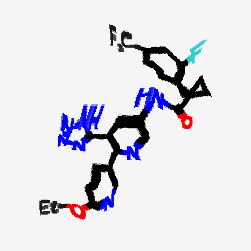 CCOc1ccc(-c2ncc(NC(=O)C3(c4ccc(C(F)(F)F)cc4F)CC3)cc2-c2nnn[nH]2)cn1